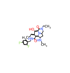 CC/C=C1/C(O)=C2C(=O)N(CC)CC3CC(NCC)C(=C1C(=O)NCc1ccc(F)cc1F)N23